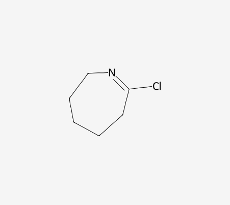 ClC1=NCCCCC1